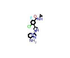 Nc1cccn2c(N3CC(c4cc(C(=O)NC5CC5)c(F)cc4Cl)C=N3)cnc12